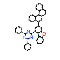 c1ccc(-c2nc(-c3ccccc3)nc(-c3cc(-c4cc5ccc6ccccc6c5c5ccccc45)cc4oc5ccccc5c34)n2)cc1